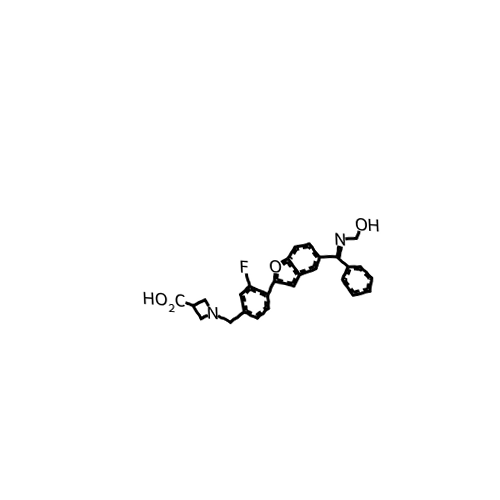 O=C(O)C1CN(Cc2ccc(-c3cc4cc(C(=NCO)c5ccccc5)ccc4o3)c(F)c2)C1